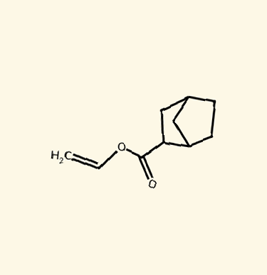 C=COC(=O)C1CC2CCC1C2